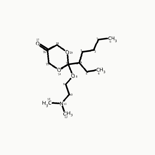 CCCCC(CC)C1(OCCN(C)C)OCC(=O)CO1